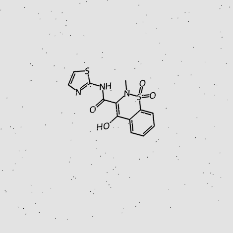 CN1C(C(=O)Nc2nccs2)=C(O)c2ccccc2S1(=O)=O